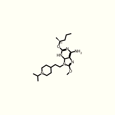 CCC[C@H](C)OC1=NC(N)=C2N=C(OC)N(CCC3CCN(C(C)C)CC3)C2N1